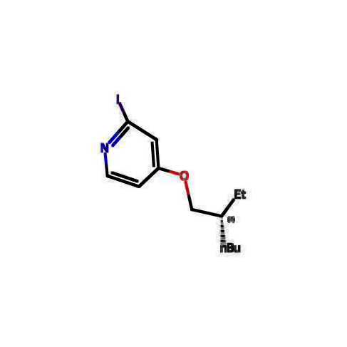 CCCC[C@@H](CC)COc1ccnc(I)c1